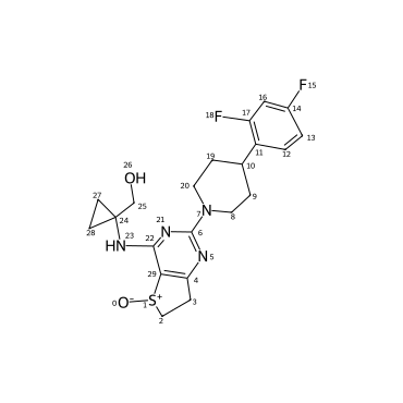 [O-][S+]1CCc2nc(N3CCC(c4ccc(F)cc4F)CC3)nc(NC3(CO)CC3)c21